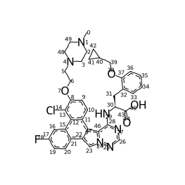 CN1CCN(CCOc2ccc3c(c2Cl)c2cc(F)ccc2c2cn4ncnc(N[C@@H](Cc5ccccc5OCC5CC5)C(=O)O)c4c23)CC1